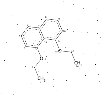 CCOc1cccc2cccc(OCC)c12